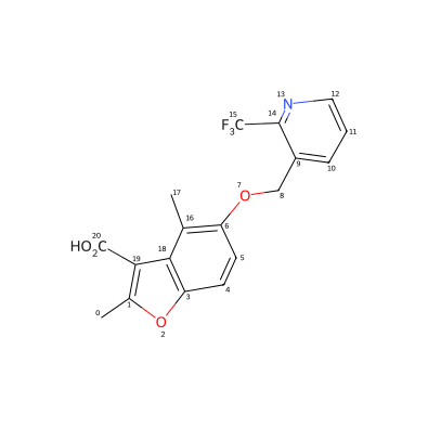 Cc1oc2ccc(OCc3cccnc3C(F)(F)F)c(C)c2c1C(=O)O